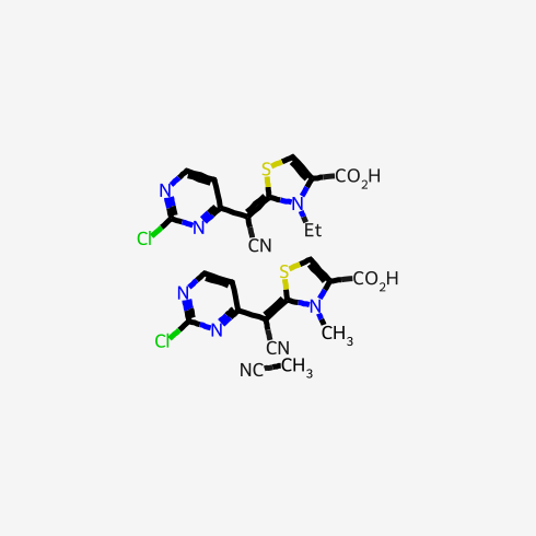 CC#N.CCN1C(C(=O)O)=CSC1=C(C#N)c1ccnc(Cl)n1.CN1C(C(=O)O)=CSC1=C(C#N)c1ccnc(Cl)n1